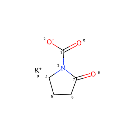 O=C([O-])N1CCCC1=O.[K+]